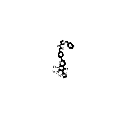 CCn1c(N)c(-c2ncc[nH]2)c(=O)c2ccc(-c3ccc(CC(=O)NC4CCN(Cc5ccccc5)C4)cc3)nc21